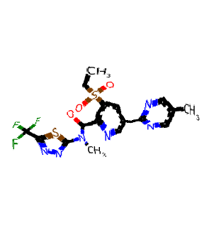 CCS(=O)(=O)c1cc(-c2ncc(C)cn2)cnc1C(=O)N(C)c1nnc(C(F)(F)F)s1